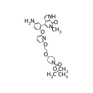 Cn1cc(-c2cc(N)ccc2Oc2cccc(OCCOC3CCN(C(=O)OC(C)(C)C)CC3)n2)c2cc[nH]c2c1=O